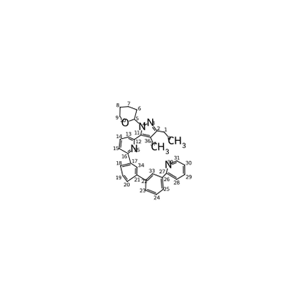 CCc1nn(C2CCCCO2)c(-c2cccc(-c3cccc(-c4cccc(-c5ccccn5)c4)c3)n2)c1C